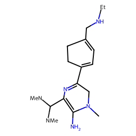 CCNCC1=CC=C(C2=NC(C(NC)NC)=C(N)N(C)C2)CC1